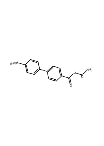 CCCCCCCc1ccc(-c2ccc(C(=O)ONN)cc2)cc1